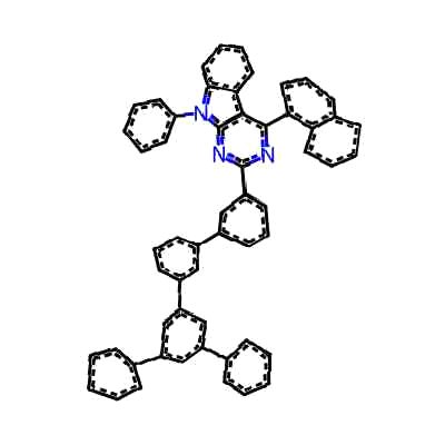 c1ccc(-c2cc(-c3ccccc3)cc(-c3cccc(-c4cccc(-c5nc(-c6cccc7ccccc67)c6c7ccccc7n(-c7ccccc7)c6n5)c4)c3)c2)cc1